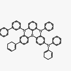 C1=CCCC(c2ccc3c(c2)N(c2cccc(-c4ccccc4)c2)c2cccc4c2B3c2ccc(N(C3=CCCC=C3)c3ccccc3)cc2N4c2ccccc2)=C1